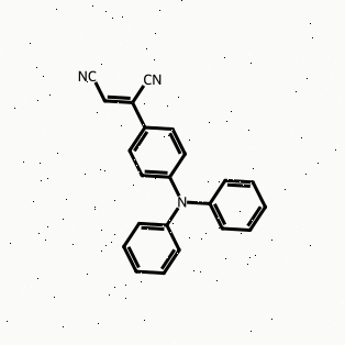 N#CC=C(C#N)c1ccc(N(c2ccccc2)c2ccccc2)cc1